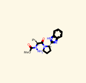 COC(=O)N(N)[C@H](C(=O)N1CCC[C@H]1c1nc2ccccc2[nH]1)C(C)C